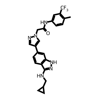 Cc1ccc(NC(=O)Cn2cc(-c3ccc4c(NCC5CC5)n[nH]c4c3)cn2)cc1C(F)(F)F